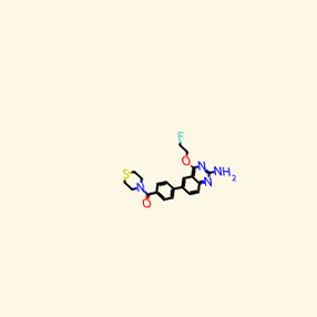 Nc1nc(OCCF)c2cc(-c3ccc(C(=O)N4CCSCC4)cc3)ccc2n1